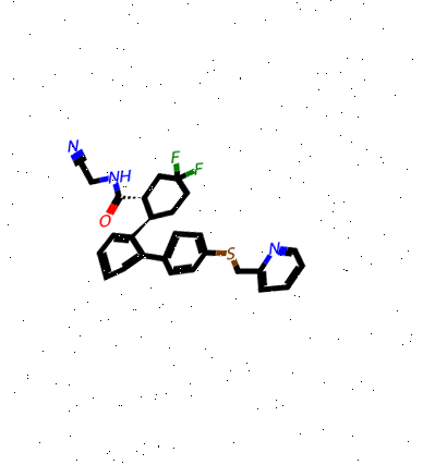 N#CCNC(=O)[C@@H]1CC(F)(F)CC[C@H]1c1ccccc1-c1ccc(SCc2ccccn2)cc1